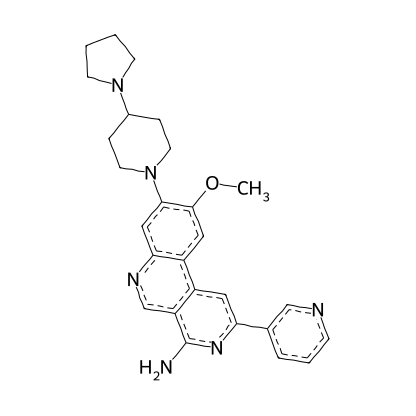 COc1cc2c(cc1N1CCC(N3CCCC3)CC1)ncc1c(N)nc(-c3cccnc3)cc12